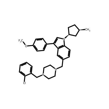 C[C@@H]1CC[C@H](n2cc(-c3ccc(OC(F)(F)F)cc3)c3cc(CN4CCN(Cc5ccccc5Cl)CC4)ccc32)C1